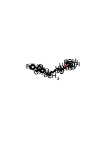 CN(CCCOCC(=O)NCCCC(O)(P(=O)(O)O)P(=O)(O)O)C(=O)Oc1ccc2c(c1)OCC(c1ccc(F)cc1)C2=O